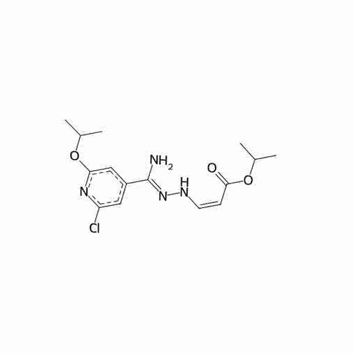 CC(C)OC(=O)/C=C\N/N=C(\N)c1cc(Cl)nc(OC(C)C)c1